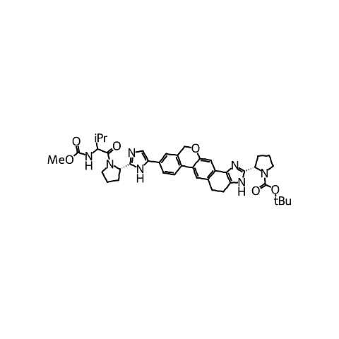 COC(=O)NC(C(=O)N1CCC[C@H]1c1ncc(-c2ccc3c(c2)COc2cc4c(cc2-3)CCc2[nH]c([C@@H]3CCCN3C(=O)OC(C)(C)C)nc2-4)[nH]1)C(C)C